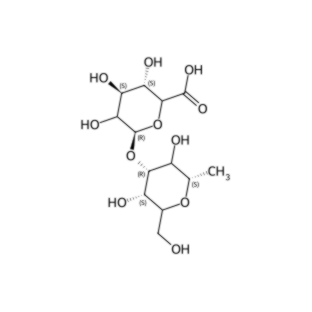 C[C@@H]1OC(CO)[C@H](O)[C@H](O[C@@H]2OC(C(=O)O)[C@@H](O)[C@H](O)C2O)C1O